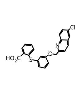 O=C(O)c1ccccc1Sc1cccc(OCc2ccc3cc(Cl)ccc3n2)c1